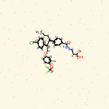 CCCC(c1ccc(C(=O)NCCC(=O)O)cc1)C(COc1ccc(OC(F)(F)F)cc1)c1ccc(Cl)cc1